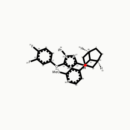 COc1cc(N2C[C@H]3CC[C@@H](C2)C3Nc2nc(Oc3ccc(F)c(F)c3)n(C(C)C)n2)ccn1